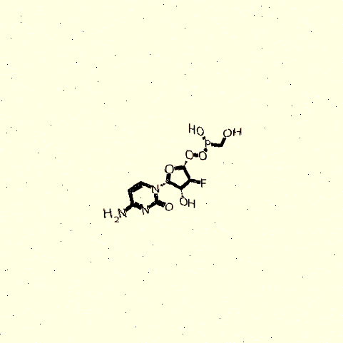 Nc1ccn([C@@H]2O[C@H](OOP(O)CO)C(F)[C@@H]2O)c(=O)n1